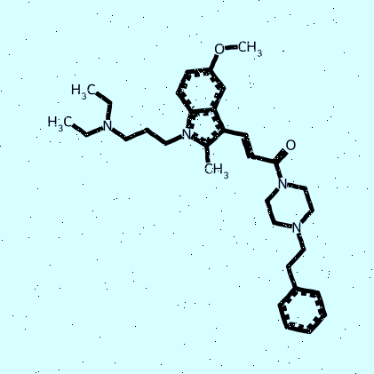 CCN(CC)CCCn1c(C)c(/C=C/C(=O)N2CCN(CCc3ccccc3)CC2)c2cc(OC)ccc21